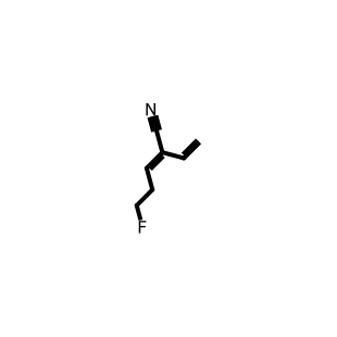 C=C/C(C#N)=C\CCF